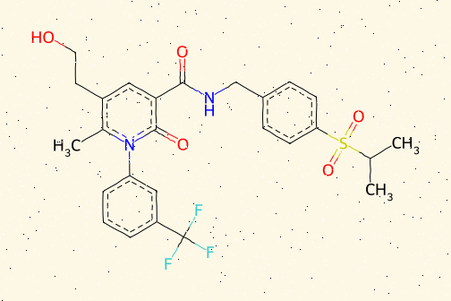 Cc1c(CCO)cc(C(=O)NCc2ccc(S(=O)(=O)C(C)C)cc2)c(=O)n1-c1cccc(C(F)(F)F)c1